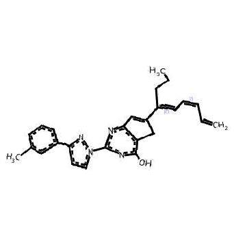 C=C/C=C\C=C(/CCC)C1=Cc2nc(-n3ccc(-c4cccc(C)c4)n3)nc(O)c2C1